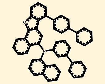 c1ccc(-c2ccc(-c3cccc4oc5c6ccccc6c(N(c6cccc(-c7ccccc7)c6)c6cccc7ccccc67)cc5c34)cc2)cc1